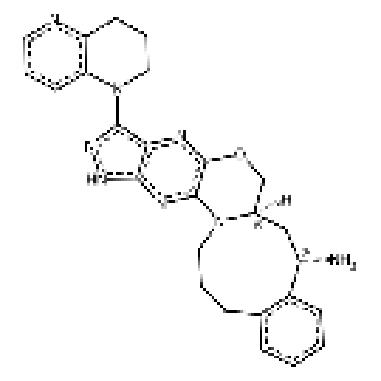 N[C@H]1C[C@@H]2COc3nc4c(N5CCCc6ncccc65)n[nH]c4nc3N2CCCc2ccccc21